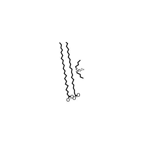 CCCCCCCCCCCCCCCCCCCCCC(=O)[O-].CCCCCCCCCCCCCCCCCCCCCC(=O)[O-].CCC[CH2][Sn+2][CH2]CCC